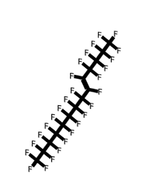 FC(=C(F)C(F)(F)C(F)(F)C(F)(F)C(F)(F)C(F)(F)C(F)(F)C(F)(F)C(F)(F)F)C(F)(F)C(F)(F)C(F)(F)C(F)(F)F